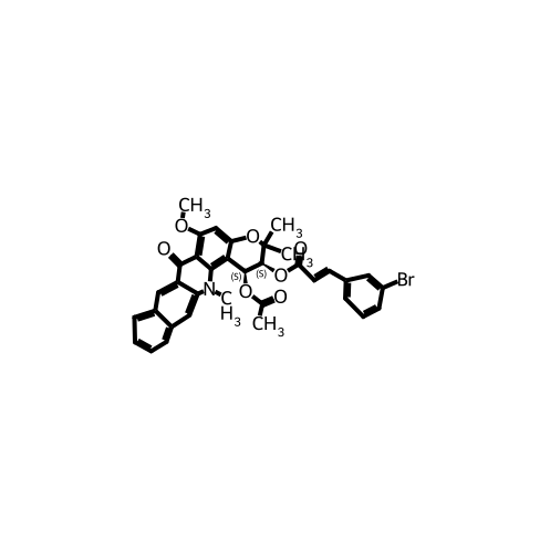 COc1cc2c(c3c1c(=O)c1cc4ccccc4cc1n3C)[C@H](OC(C)=O)[C@H](OC(=O)C=Cc1cccc(Br)c1)C(C)(C)O2